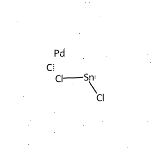 [C].[Cl][Sn][Cl].[Pd]